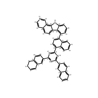 C1=Cc2cc(-c3nc(-c4ccc5ccccc5c4)nc(-c4ccc(-c5cccc6oc7c8cnccc8ccc7c56)c5ccccc45)n3)ccc2CC1